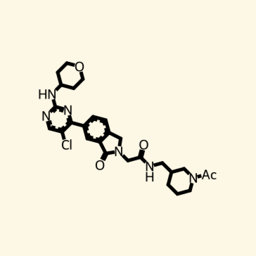 CC(=O)N1CCCC(CNC(=O)CN2Cc3ccc(-c4nc(NC5CCOCC5)ncc4Cl)cc3C2=O)C1